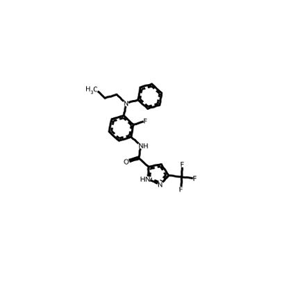 CCCN(c1ccccc1)c1cccc(NC(=O)c2cc(C(F)(F)F)n[nH]2)c1F